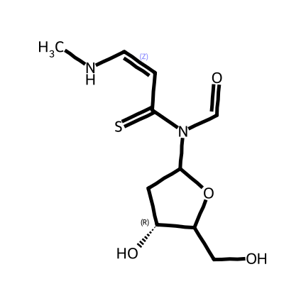 CN/C=C\C(=S)N(C=O)C1C[C@@H](O)C(CO)O1